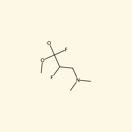 COC([O])(F)C(F)CN(C)C